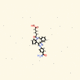 NC(=O)c1ccc(-n2cc3c(n2)-c2ccccc2CN(C(=O)CCCCC(=O)O)c2ccccc2-3)cc1